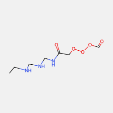 CCNCNCNC(=O)COOOC=O